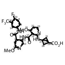 COc1cc(C(=O)Nc2ccc(F)c(C(F)(F)F)c2)c(NC(=O)c2c(OC)ccnc2NC23CC(C(=O)O)(C2)C3)cn1